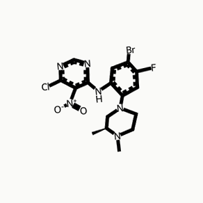 C[C@H]1CN(c2cc(F)c(Br)cc2Nc2ncnc(Cl)c2[N+](=O)[O-])CCN1C